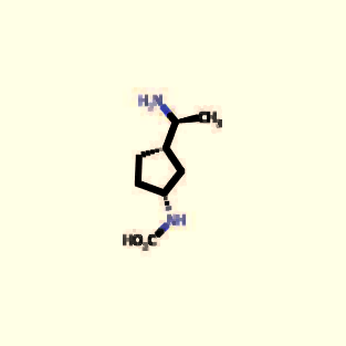 C[C@H](N)[C@H]1CC[C@@H](NC(=O)O)C1